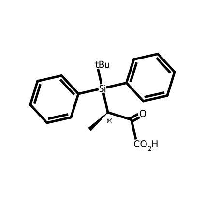 C[C@H](C(=O)C(=O)O)[Si](c1ccccc1)(c1ccccc1)C(C)(C)C